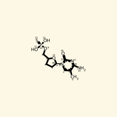 Cc1cn([C@H]2CCC(COP(O)(O)=S)O2)c(=O)nc1N